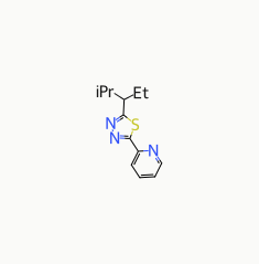 CCC(c1nnc(-c2ccccn2)s1)C(C)C